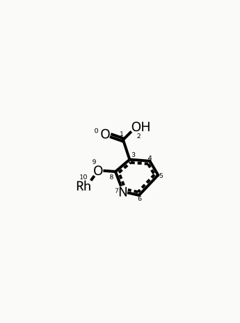 O=C(O)c1cccnc1[O][Rh]